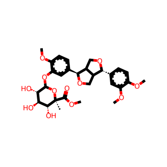 COC(=O)[C@]1(C)OC(Oc2cc([C@@H]3OCC4C3CO[C@@H]4c3ccc(OC)c(OC)c3)ccc2OC)[C@@H](O)[C@H](O)[C@H]1O